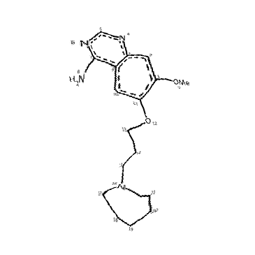 COc1cc2ncnc(N)c2cc1OCCCN1CCCCC1